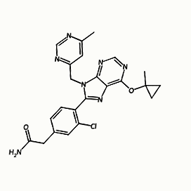 Cc1cc(Cn2c(-c3ccc(CC(N)=O)cc3Cl)nc3c(OC4(C)CC4)ncnc32)ncn1